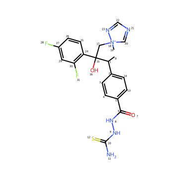 CC(c1ccc(C(=O)NNC(N)=S)cc1)C(O)(C[N+]1(C)C=NC=N1)c1ccc(F)cc1F